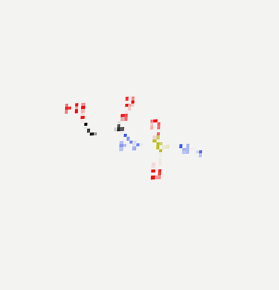 NS(=O)(=O)NC(=O)CO